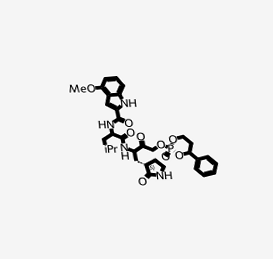 COc1cccc2[nH]c(C(=O)NC(CC(C)C)C(=O)NC(C[C@@H]3CCNC3=O)C(=O)COP3(=O)OCCC(c4ccccc4)O3)cc12